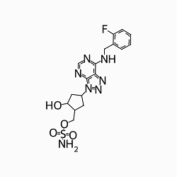 NS(=O)(=O)OCC1CC(n2nnc3c(NCc4ccccc4F)ncnc32)CC1O